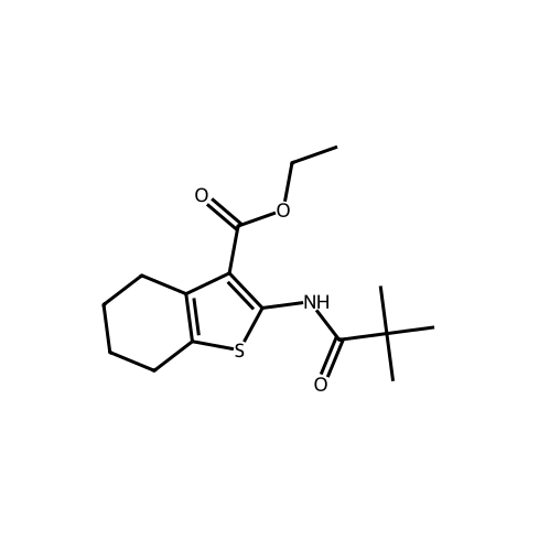 CCOC(=O)c1c(NC(=O)C(C)(C)C)sc2c1CCCC2